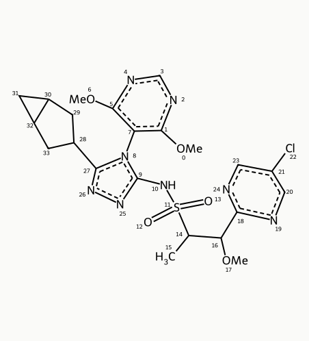 COc1ncnc(OC)c1-n1c(NS(=O)(=O)C(C)C(OC)c2ncc(Cl)cn2)nnc1C1CC2CC2C1